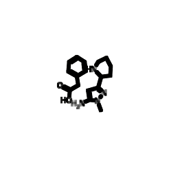 Cn1nc(C2CCCCN2)cc1N.O=C(O)Cc1ccccc1